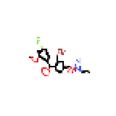 CCNOCc1ccc(C(=O)c2ccc(F)cc2OC)c(CBr)c1